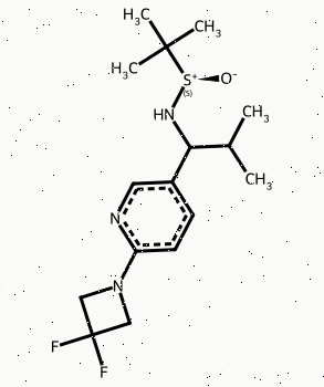 CC(C)C(N[S@+]([O-])C(C)(C)C)c1ccc(N2CC(F)(F)C2)nc1